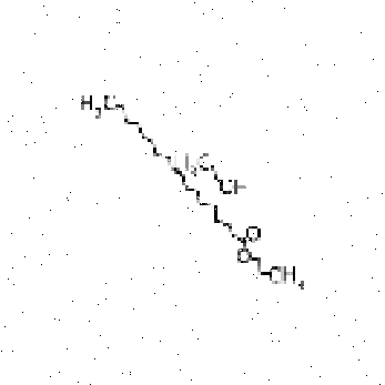 CCCCCCCCC=CCCCCCCCC(=O)OCCC.CCCO